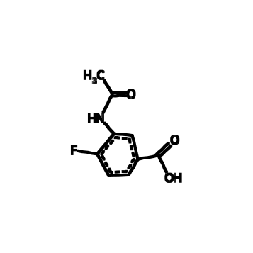 CC(=O)Nc1cc(C(=O)O)ccc1F